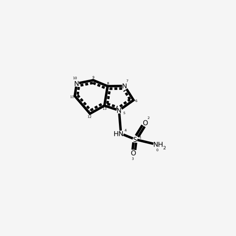 NS(=O)(=O)Nn1cnc2cnccc21